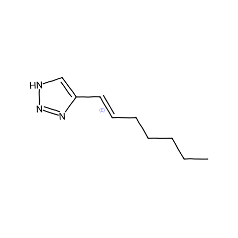 CCCCC/C=C/c1c[nH]nn1